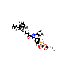 CC(=O)OCS(=O)(=O)c1ccc(-c2cc(C(=O)CCCO[Si](C)(C)C(C)(C)C)nn2C2CCCCC2)cc1